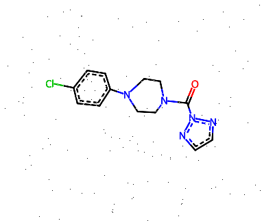 O=C(N1CCN(c2ccc(Cl)cc2)CC1)n1nccn1